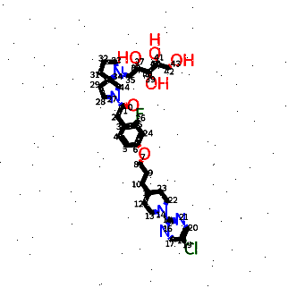 O=C(Cc1ccc(OCCCC2CCN(c3ncc(Cl)cn3)CC2)cc1F)N1CCC2(CCCN2C[C@H](O)[C@H](O)[C@H](O)CO)C1